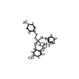 CC(CCc1ccc(Br)cc1)(Cn1ccnc1)Sc1cc(Cl)ccc1Cl